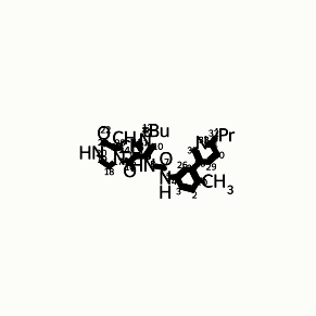 Cc1ccc(NC(=O)Nc2cn(C(C)(C)C)nc2C(=O)N2CCNC(=O)C2(C)C)cc1-c1ccc(C(C)C)nc1